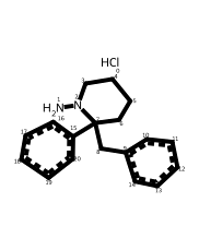 Cl.NN1CCCCC1(Cc1ccccc1)c1ccccc1